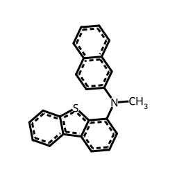 CN(c1ccc2ccccc2c1)c1cccc2c1sc1ccccc12